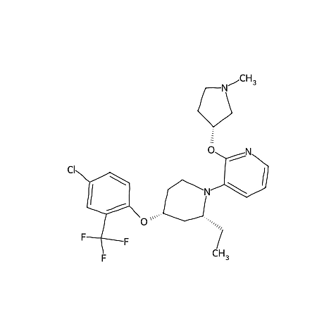 CC[C@@H]1C[C@H](Oc2ccc(Cl)cc2C(F)(F)F)CCN1c1cccnc1O[C@@H]1CCN(C)C1